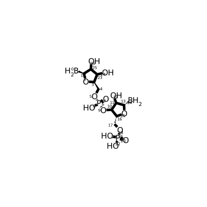 B[C@@H]1O[C@H](COP(=O)(O)OC2C(O)[C@H](B)O[C@@H]2COP(=O)(O)O)C(O)C1O